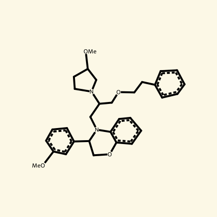 COc1cccc(C2COc3ccccc3N2CC(COCCc2ccccc2)N2CCC(OC)C2)c1